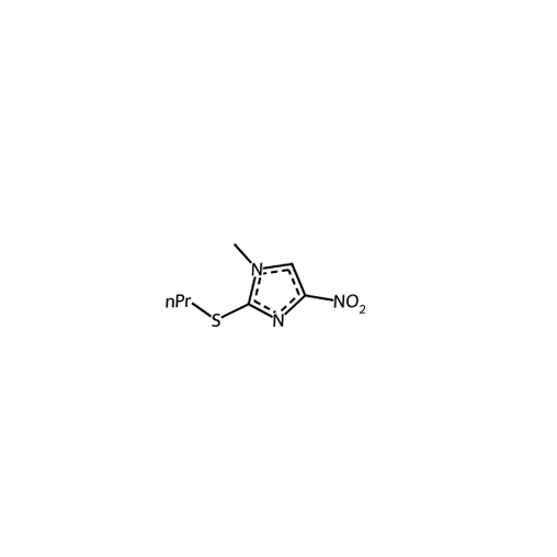 CCCSc1nc([N+](=O)[O-])cn1C